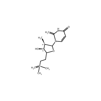 C=C1NC(=O)C=CN1C1OC(CCP(=C)(C)C)[C@@H](O)[C@H]1C